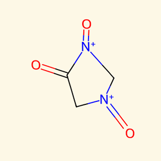 O=C1C[N+](=O)C[N+]1=O